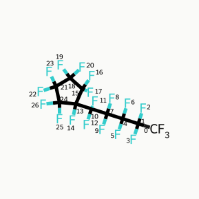 FC(F)(F)C(F)(F)C(F)(F)C(F)(F)C(F)(F)C1(F)C(F)(F)C(F)(F)C(F)(F)C1(F)F